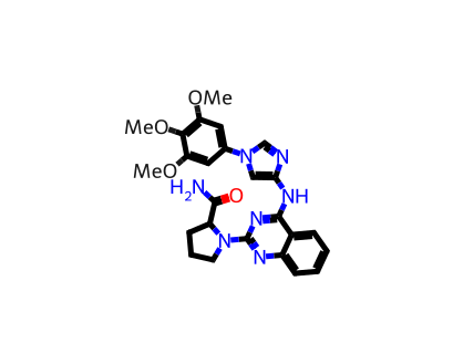 COc1cc(-n2cnc(Nc3nc(N4CCCC4C(N)=O)nc4ccccc34)c2)cc(OC)c1OC